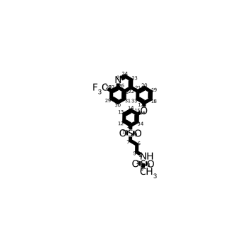 CS(=O)(=O)NCCCS(=O)(=O)c1cccc(Oc2cccc(-c3ccnc4c(C(F)(F)F)cccc34)c2)c1